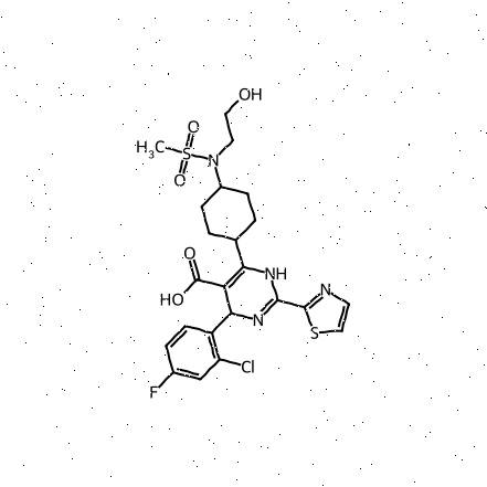 CS(=O)(=O)N(CCO)C1CCC(C2=C(C(=O)O)C(c3ccc(F)cc3Cl)N=C(c3nccs3)N2)CC1